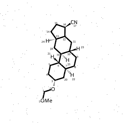 COCO[C@@H]1CC[C@H]2[C@@H](CC[C@H]3CC4[C@H](CC[C@H]4C#N)C[C@@H]32)C1